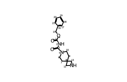 O=C(NC(=O)N1CCC2(CC1)CNC2)OCc1ccccc1